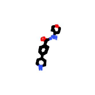 O=C(NC1CCOCC1)c1ccc(C2CCNCC2)cc1